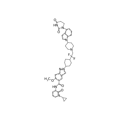 COc1cc2nn(C3CCC(C(F)(F)CN4CCC(n5ccc6c(N7CCC(=O)NC7=O)cccc65)CC4)CC3)cc2cc1C(=O)Nc1cccn(C2CC2)c1=O